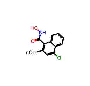 CCCCCCCCc1cc(Cl)c2ccccc2c1C(=O)NO